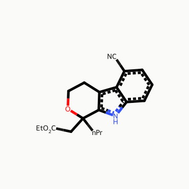 CCCC1(CC(=O)OCC)OCCc2c1[nH]c1cccc(C#N)c21